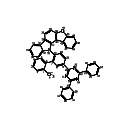 FC(F)(F)c1ccccc1-c1cc(-c2nc(-c3ccccc3)nc(-c3ccccc3)n2)ccc1-n1c2ccccc2c2ccc3oc4ccccc4c3c21